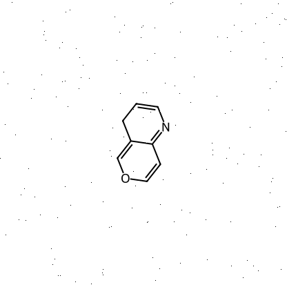 C1=CN=C2C=COC=C2C1